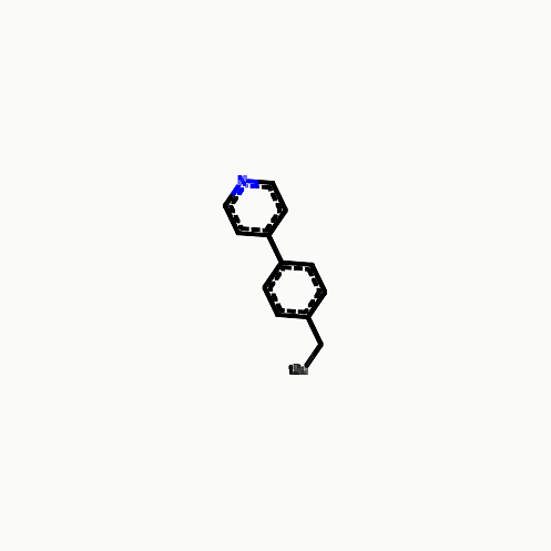 CC(C)(C)Cc1ccc(-c2ccncc2)cc1